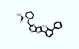 Cc1c(-c2ccccc2)cccc1-c1cc2nc(CN3CCCC[C@H]3C(=O)O)cnc2o1